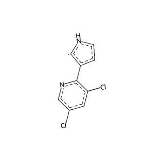 Clc1cnc(-c2[c][nH]cc2)c(Cl)c1